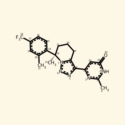 Cc1nc(-c2nnn3c2CCC[C@]3(C)c2ccc(C(F)(F)F)cc2C)cc(=O)[nH]1